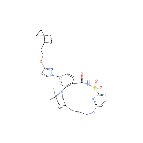 CC1(C)C[C@@H]2CCCNc3cccc(n3)S(=O)(=O)NC(=O)c3ccc(-n4ccc(OCCC5CCC56CC6)n4)cc3N1C2